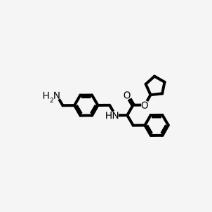 NCc1ccc(CNC(Cc2ccccc2)C(=O)OC2CCCC2)cc1